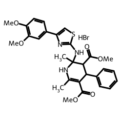 Br.COC(=O)C1=C(C)NC(C)(Nc2nc(-c3ccc(OC)c(OC)c3)cs2)C(C(=O)OC)C1c1ccccc1